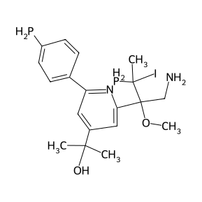 COC(CN)(c1cc(C(C)(C)O)cc(-c2ccc(P)cc2)n1)C(C)(P)I